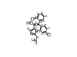 Cc1nc(CN(C)C)n(-c2cc(Cl)ccc2C(=O)c2ccccc2Cl)c1CO